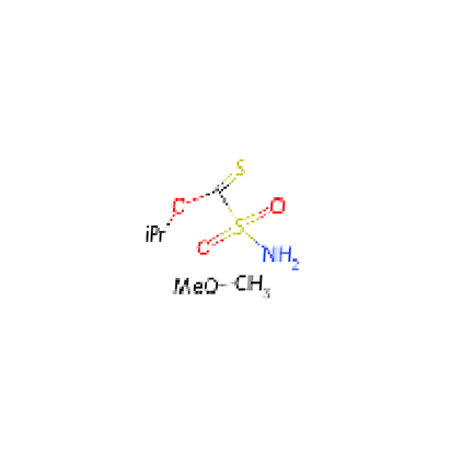 CC(C)OC(=S)S(N)(=O)=O.COC